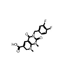 CN1CC(C(=O)O)=Cc2c1n(C)c(=O)n(Cc1ccc(F)c(F)c1)c2=O